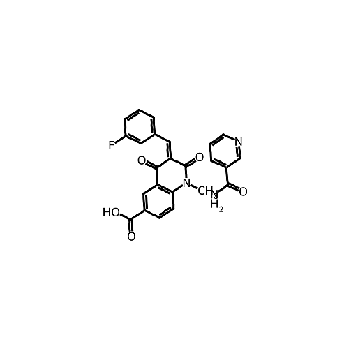 CN1C(=O)/C(=C/c2cccc(F)c2)C(=O)c2cc(C(=O)O)ccc21.NC(=O)c1cccnc1